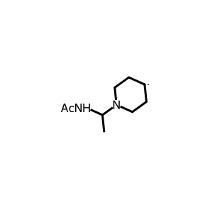 CC(=O)NC(C)N1CC[CH]CC1